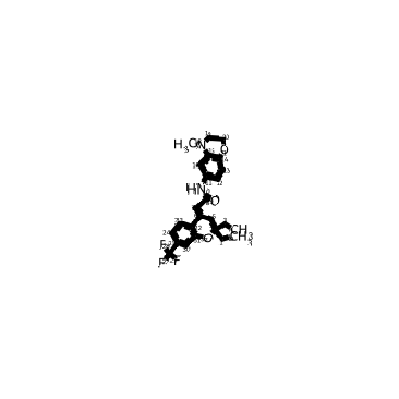 CCC1(CC)CC(=CC(=O)Nc2ccc3c(c2)N(C)CCO3)c2ccc(C(F)(F)F)cc2O1